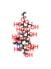 C=CCO[C@@H]1OC(CO)[C@@H](O[C@@H]2OC(CO)[C@H](O)C(O[C@]3(COO)CC(O)[C@@H](NC(C)=O)C([C@H](O)[C@H](O)CO)S3)C2O)C(O)C1O